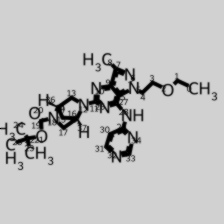 CCOCCn1nc(C)c2nc(N3C[C@@H]4C[C@H]3CN4C(=O)OC(C)(C)C)nc(Nc3ccncn3)c21